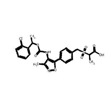 Cc1noc(-c2ccc(CS(=O)(=O)C(C)C(=O)O)cc2)c1NC(=O)OC(C)c1ccccc1Cl